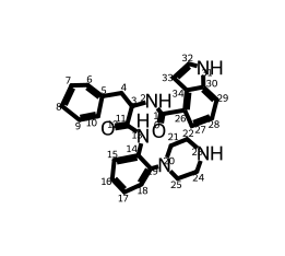 O=C(NC(Cc1ccccc1)C(=O)Nc1ccccc1N1CCNCC1)c1cccc2[nH]ccc12